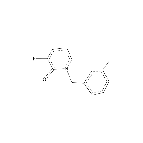 Cc1cccc(Cn2cccc(F)c2=O)c1